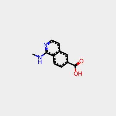 CNc1nccc2cc(C(=O)O)ccc12